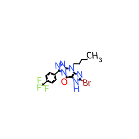 CCCCCn1c2nc(Br)[nH]c2c(=O)n2c(-c3ccc(C(F)(F)F)cc3)nnc12